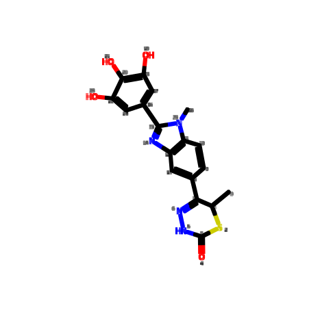 CC1SC(=O)NN=C1c1ccc2c(c1)nc(-c1cc(O)c(O)c(O)c1)n2C